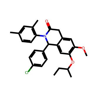 CCC(C)Oc1cc2c(cc1OC)CC(=O)N(c1ccc(C)cc1C)C2c1ccc(Cl)cc1